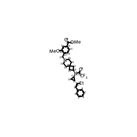 CC/C(=C\c1ccccc1)[C@@H]1C[C@H]1N(C(=O)C(F)(F)F)C1CC2(CCN(Cc3ccc(C(=O)OC)cc3OC)CC2)C1